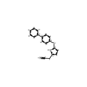 N#CCc1ccc(Sc2ccc(-c3ccccc3)cc2)s1